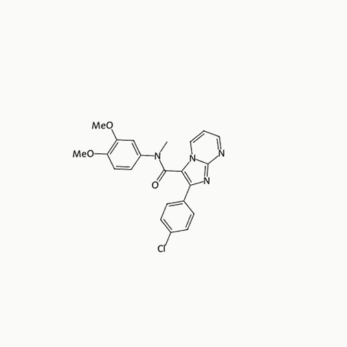 COc1ccc(N(C)C(=O)c2c(-c3ccc(Cl)cc3)nc3ncccn23)cc1OC